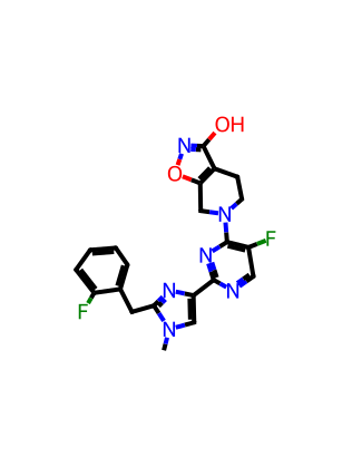 Cn1cc(-c2ncc(F)c(N3CCc4c(O)noc4C3)n2)nc1Cc1ccccc1F